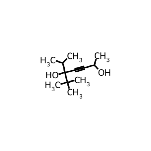 CC(O)C#CC(O)(C(C)C)C(C)(C)C